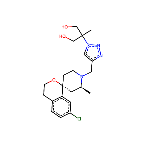 C[C@H]1C[C@@]2(CCN1Cc1cn(C(C)(CO)CO)nn1)OCCc1ccc(Cl)cc12